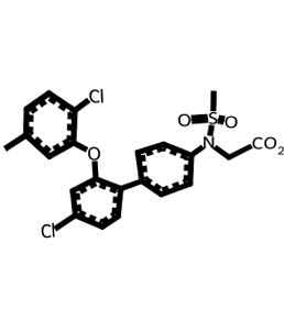 Cc1ccc(Cl)c(Oc2cc(Cl)ccc2-c2ccc(N(CC(=O)O)S(C)(=O)=O)cc2)c1